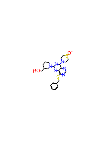 [O-][S+]1CCN(c2nc(N3CCCC(CO)C3)nc3c(SCc4ccccc4)ncnc23)CC1